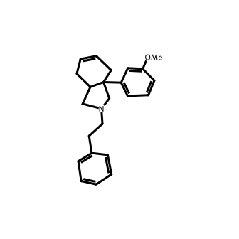 COc1cccc(C23CC=CCC2CN(CCc2ccccc2)C3)c1